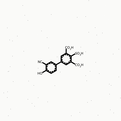 N#Cc1cc(-c2cc(C(=O)O)c(S(=O)(=O)O)c(C(=O)O)c2)ccc1O